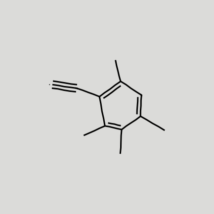 [C]#Cc1c(C)cc(C)c(C)c1C